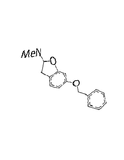 CNC1Cc2ccc(OCc3ccccc3)cc2O1